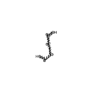 O=C(CSCSCC(=O)SCSCO)SCCSCSCC[S+]([O-])CCSCSCC(=O)SCSCO